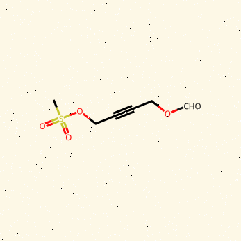 CS(=O)(=O)OCC#CCOC=O